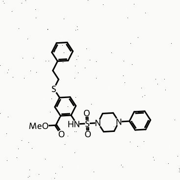 COC(=O)c1cc(SCCc2ccccc2)ccc1NS(=O)(=O)N1CCN(c2ccccc2)CC1